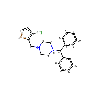 Clc1ccsc1CN1CCN(C(c2ccccc2)c2ccccc2)CC1